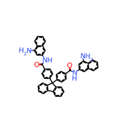 Nc1cc(NC(=O)c2ccc(C3(c4ccc(C(=O)Nc5cc(N)c6ccccc6c5)cc4)c4ccccc4-c4ccccc43)cc2)cc2ccccc12